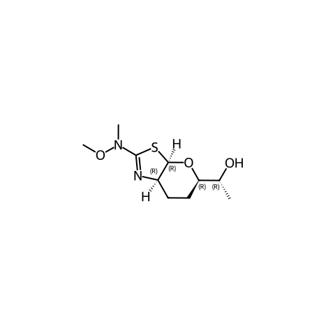 CON(C)C1=N[C@@H]2CC[C@H]([C@@H](C)O)O[C@@H]2S1